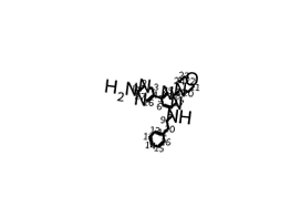 Nc1ncc(-c2cc(NCCc3ccccc3)nc(N3CCOCC3)n2)cn1